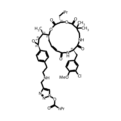 CCCC(=O)On1cc(CNCCc2ccc([C@H]3O[C@@H]3[C@@H](C)[C@@H]3CC=CC(=O)N[C@H](Cc4ccc(OC)c(Cl)c4)C(=O)NCC(C)(C)C(=O)O[C@@H](CC(C)C)C(=O)O3)cc2)nn1